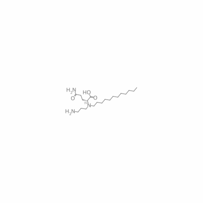 CCCCCCCCCCCCN(CCCN)[C@@H](CCC(N)=O)C(=O)O